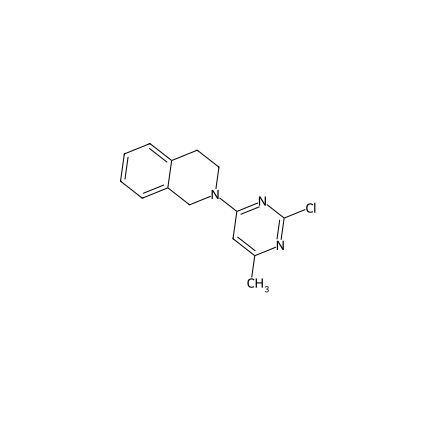 Cc1cc(N2CCc3ccccc3C2)nc(Cl)n1